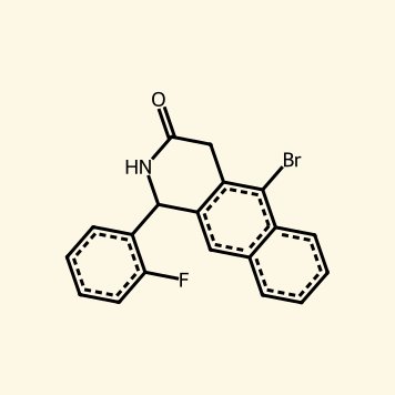 O=C1Cc2c(cc3ccccc3c2Br)C(c2ccccc2F)N1